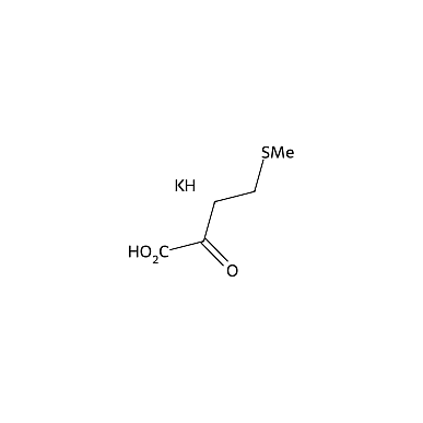 CSCCC(=O)C(=O)O.[KH]